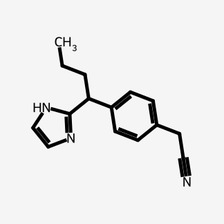 CCCC(c1ccc(CC#N)cc1)c1ncc[nH]1